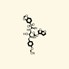 CC(C)C(NC[C@@H](O)[C@H](Cc1ccc(OCC#N)cc1)NC(=O)Oc1coc2occc12)S(=O)(=O)c1ccc2c(c1)OCO2